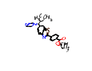 CCC(CC)C(c1ccc2nc(-c3ccc(C(=O)OC)cc3)sc2c1)n1ccnc1